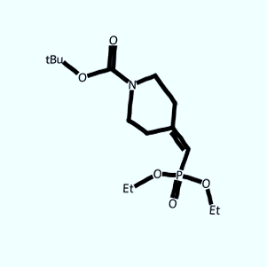 CCOP(=O)(C=C1CCN(C(=O)OC(C)(C)C)CC1)OCC